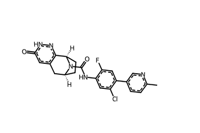 Cc1ccc(-c2cc(F)c(NC(=O)N3[C@H]4CC[C@@H]3c3n[nH]c(=O)cc3C4)cc2Cl)cn1